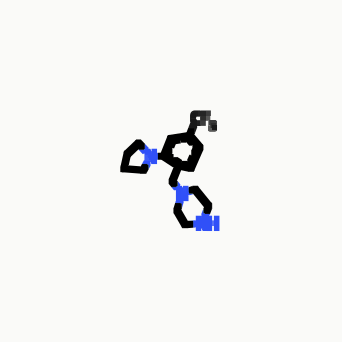 FC(F)(F)c1ccc(CN2CCNCC2)c(N2CCCC2)c1